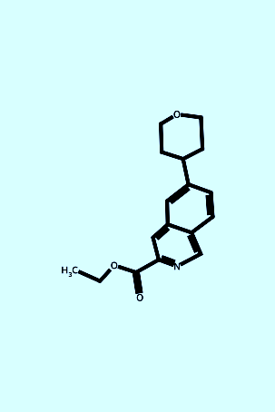 CCOC(=O)c1cc2cc(C3CCOCC3)ccc2cn1